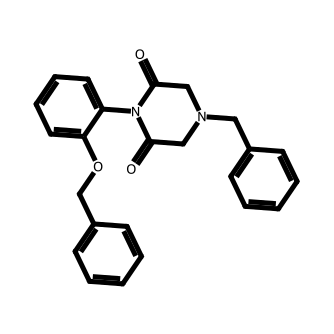 O=C1CN(Cc2ccccc2)CC(=O)N1c1ccccc1OCc1ccccc1